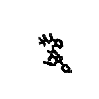 CC#CCn1c(N2CCNCC2)nc2nc(Sc3ccccc3C(=O)OC(=O)C(F)(F)F)n(C)c(=O)c21